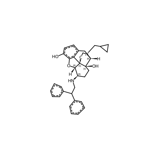 Oc1ccc2c3c1O[C@H]1[C@H](NCC(c4ccccc4)c4ccccc4)CC[C@@]4(O)[C@@H](C2)N(CC2CC2)CC[C@]314